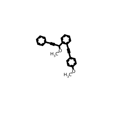 COc1ccc(C#Cc2ccccc2C(C#Cc2ccccc2)OC)cc1